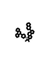 Cc1c(C)n(-c2ccc(-c3cc4ccccc4c4ccccc34)cc2)c2c1ccc1c3cccc(-c4ccc5ccccc5c4)c3ccc12